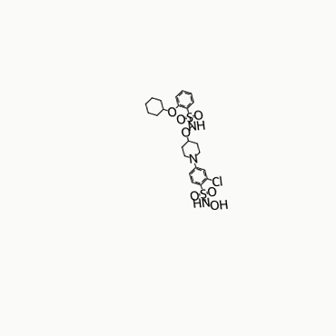 O=S(=O)(NO)c1ccc(N2CCC(ONS(=O)(=O)c3ccccc3OC3CCCCC3)CC2)cc1Cl